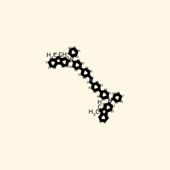 CC1(C)c2ccccc2-c2ccc(N(c3ccccc3)c3ccc(-c4ccc(/C=C/c5ccc(-c6ccc(N(c7ccccc7)c7ccc8c(c7)C(C)(C)c7ccccc7-8)cc6)cc5)cc4)cc3)cc21